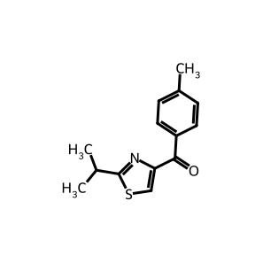 Cc1ccc(C(=O)c2csc(C(C)C)n2)cc1